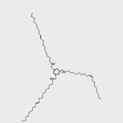 CCCCCCCCC=CCCCCCCCCNCc1cc(CNCCCCCCCCC=CCCCCCCCC)cc(CNCCCCCCCC/C=C\CCCCCCCC)c1